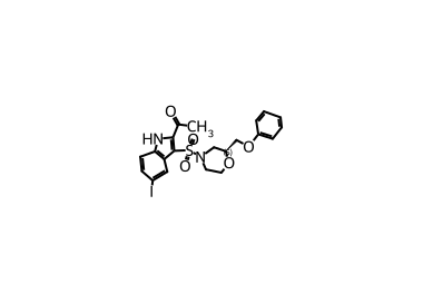 CC(=O)c1[nH]c2ccc(I)cc2c1S(=O)(=O)N1CCO[C@H](COc2ccccc2)C1